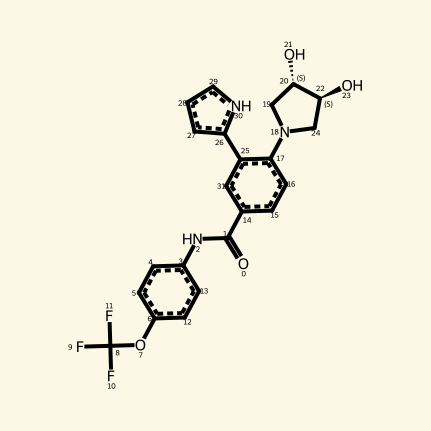 O=C(Nc1ccc(OC(F)(F)F)cc1)c1ccc(N2C[C@H](O)[C@@H](O)C2)c(-c2ccc[nH]2)c1